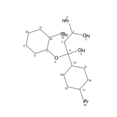 CCCC(O)CC(O)(OC1CCCCC1C(C)(C)C)C1CCC(C(C)C)CC1